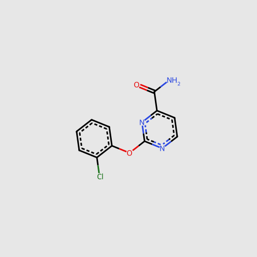 NC(=O)c1ccnc(Oc2ccccc2Cl)n1